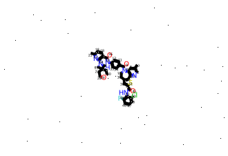 Cc1cnc2c(c1)N(C(=O)c1ccc(NC(=O)c3ccc(C)nc3N3CC4(CCOCC4)C3)cc1)CCc1cc(C(=O)Nc3c(F)cccc3Cl)sc1-2